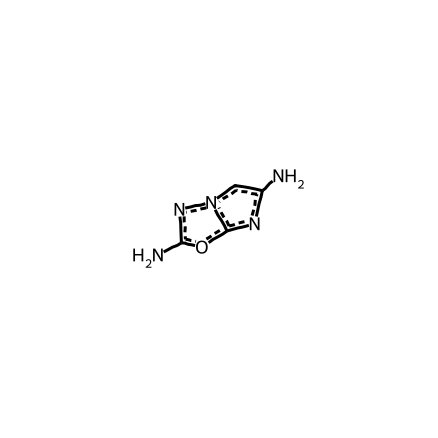 Nc1cn2nc(N)oc2n1